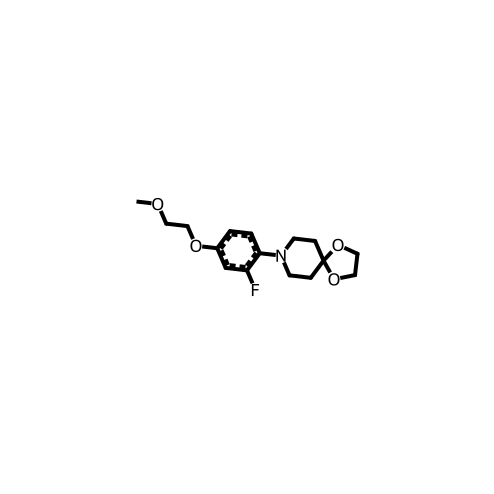 COCCOc1ccc(N2CCC3(CC2)OCCO3)c(F)c1